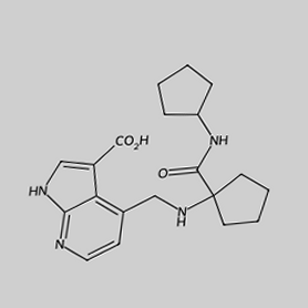 O=C(O)c1c[nH]c2nccc(CNC3(C(=O)NC4CCCC4)CCCC3)c12